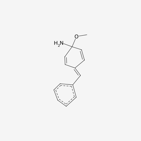 COC1(N)C=CC(=Cc2ccccc2)C=C1